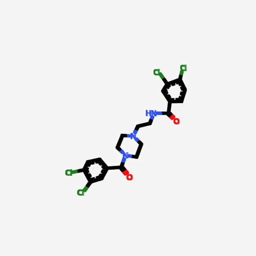 O=C(NCCN1CCN(C(=O)c2ccc(Cl)c(Cl)c2)CC1)c1ccc(Cl)c(Cl)c1